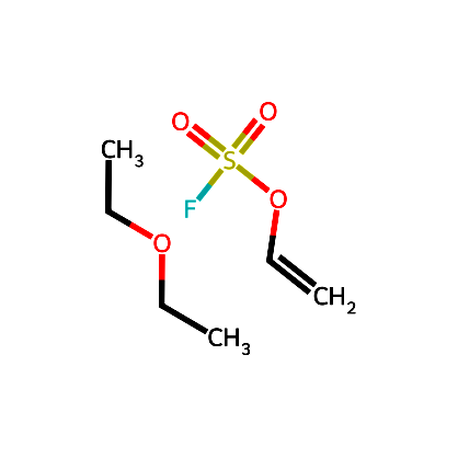 C=COS(=O)(=O)F.CCOCC